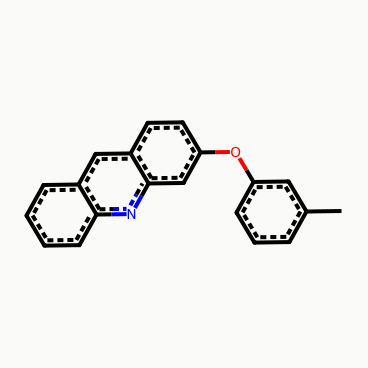 Cc1cccc(Oc2ccc3cc4ccccc4nc3c2)c1